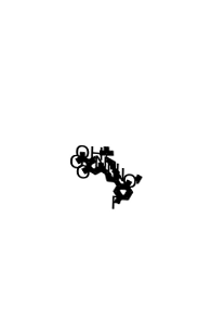 CCOc1ccc(F)cc1-c1cc2n(n1)C[C@@H](C(C)(C)C)n1cc(C(=O)O)c(=O)cc1-2